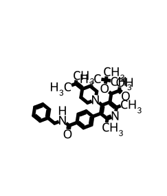 CC(C)=C1CCN(c2c(-c3ccc(C(=O)NCc4ccccc4)cc3)c(C)nc(C)c2C(OC(C)(C)C)C(=O)O)CC1